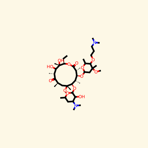 CC[C@H]1OC(=O)[C@H](C)[C@@H](OC2CC(C)(OC)C(OCCCN(C)C)C(C)O2)[C@H](C)[C@@H](OC2OC(C)CC(N(C)C)C2O)[C@](C)(OC)C[C@@H](C)C(=O)[C@H](C)C(O)[C@]1(C)O